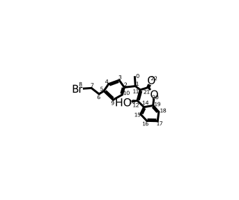 CC(c1ccc(CCBr)cc1)c1c(O)c2ccccc2oc1=O